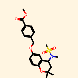 COC(=O)c1ccc(COc2ccc3c(c2)C(N(C)S(C)(=O)=O)CC(C)(C)O3)cc1